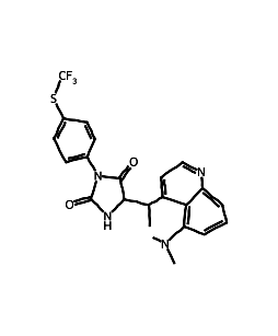 CC(c1ccnc2cccc(N(C)C)c12)C1NC(=O)N(c2ccc(SC(F)(F)F)cc2)C1=O